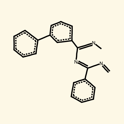 C=N/C(=N\C(=N/C)c1cccc(-c2ccccc2)c1)c1ccccc1